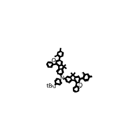 Cc1ccc(-c2cc3c(c4c2oc2ccccc24)-c2ccc(N(c4ccc(C(C)(C)C)cc4)c4ccc5c(c4)C(C)(C)c4cc(-c6ccc(C)cc6C)c6oc7ccccc7c6c4-5)cc2C3(C)C)c(C)c1